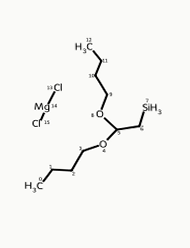 CCCCOC([CH][SiH3])OCCCC.[Cl][Mg][Cl]